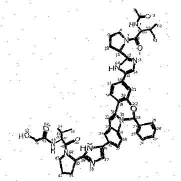 CC(=O)N[C@H](C(=O)N1CCCC1c1ncc(-c2ccc3c(c2)OC(c2ccccc2)n2c-3cc3cc(-c4cnc(C5CCCN5C(=O)[C@@H](NC(=O)CO)C(C)C)[nH]4)ccc32)[nH]1)C(C)C